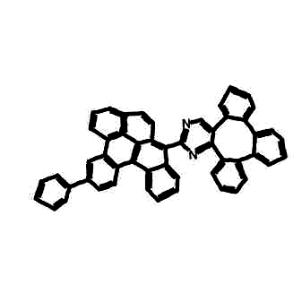 c1ccc(-c2ccc(-c3c4ccccc4c(-c4ncc5c(n4)-c4ccccc4-c4ccccc4-c4ccccc4-5)c4ccccc34)c(-c3ccccc3)c2)cc1